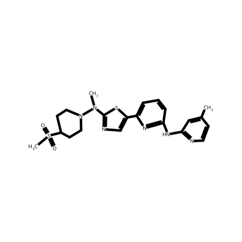 Cc1ccnc(Nc2cccc(-c3cnc(N(C)N4CCC(S(C)(=O)=O)CC4)s3)n2)c1